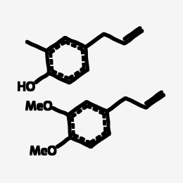 C=CCc1ccc(O)c(C)c1.C=CCc1ccc(OC)c(OC)c1